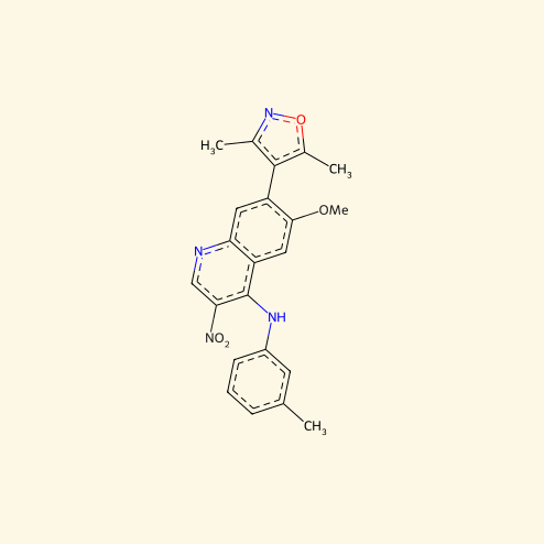 COc1cc2c(Nc3cccc(C)c3)c([N+](=O)[O-])cnc2cc1-c1c(C)noc1C